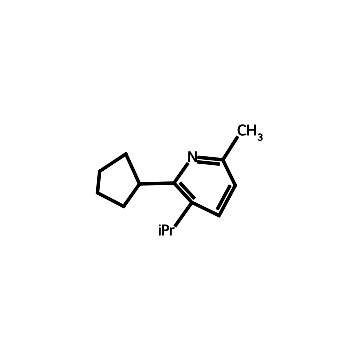 Cc1ccc(C(C)C)c(C2CCCC2)n1